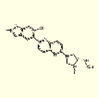 Cn1cc2cc(-c3ccc4nc(N5C[C@H](NC(C)(C)C)[C@@H](F)C5)ccc4n3)c(O)cc2n1